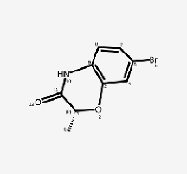 C[C@H]1Oc2cc(Br)ccc2NC1=O